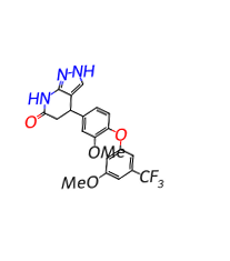 COc1cc(Oc2ccc(C3CC(=O)Nc4n[nH]cc43)cc2OC)cc(C(F)(F)F)c1